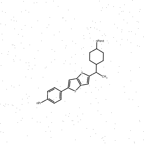 CCCCCC1CCC(C(C)c2cc3sc(-c4ccc(CCC)cc4)cc3s2)CC1